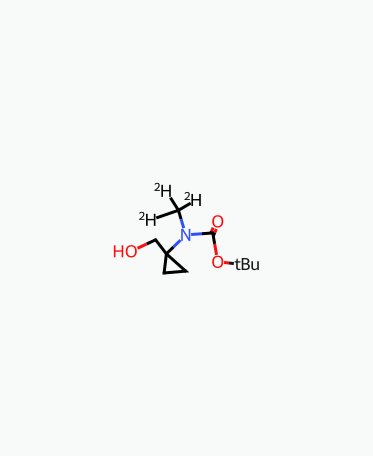 [2H]C([2H])([2H])N(C(=O)OC(C)(C)C)C1(CO)CC1